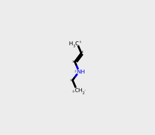 [CH2]CNC=CC